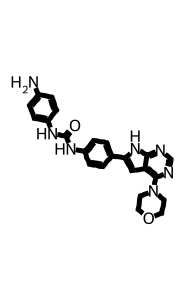 Nc1ccc(NC(=O)Nc2ccc(-c3cc4c(N5CCOCC5)ncnc4[nH]3)cc2)cc1